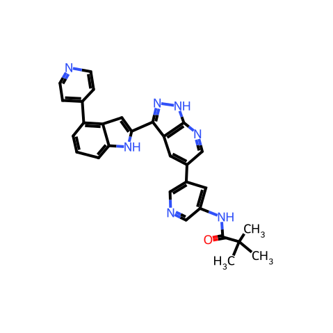 CC(C)(C)C(=O)Nc1cncc(-c2cnc3[nH]nc(-c4cc5c(-c6ccncc6)cccc5[nH]4)c3c2)c1